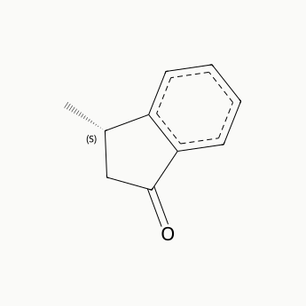 C[C@H]1CC(=O)c2ccccc21